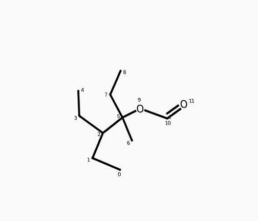 CCC(CC)C(C)(CC)O[C]=O